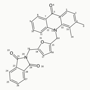 Cc1ccc2c(=O)c3ccccc3n(Cc3ccc(CN4C(=O)c5ccccc5C4=O)o3)c2c1C